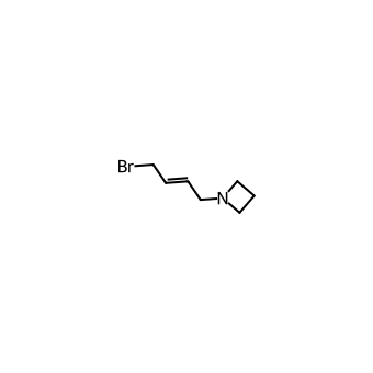 BrC/C=C/CN1CCC1